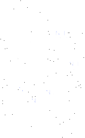 Cn1nnc2c(N)c(N)ccc21